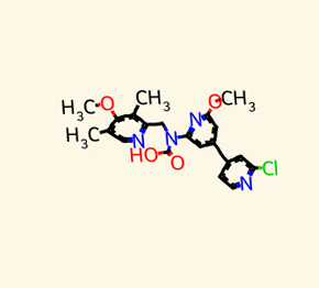 COc1cc(-c2ccnc(Cl)c2)cc(N(Cc2ncc(C)c(OC)c2C)C(=O)O)n1